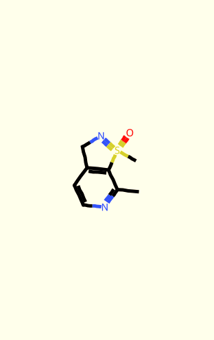 Cc1nccc2c1S(C)(=O)=NC2